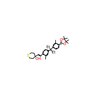 CCC(CC)(c1ccc(C=CC2(O)CCSCC2)c(C)c1)c1ccc(B2OC(C)(C)C(C)(C)O2)c(C)c1